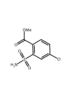 COC(=O)c1ccc(Cl)cc1S(N)(=O)=O